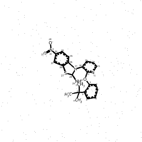 CC(C)(C)c1ccccc1Oc1ncccc1N1c2ccc([N+](=O)[O-])cc2SC1N